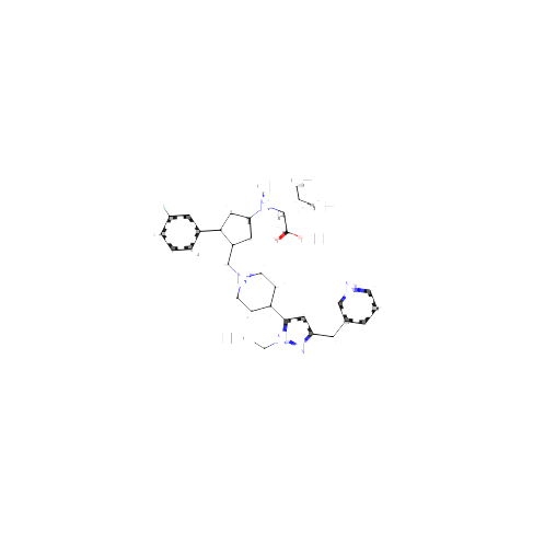 CCn1nc(Cc2cccnc2)cc1C1CCN(CC2CC(N(C)[C@@H](C(=O)O)C(C)C)CC2c2cccc(F)c2)CC1